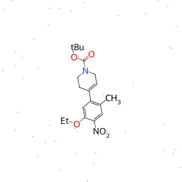 CCOc1cc(C2=CCN(C(=O)OC(C)(C)C)CC2)c(C)cc1[N+](=O)[O-]